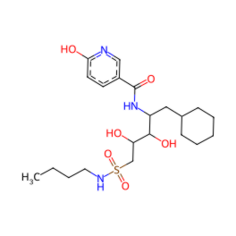 CCCCNS(=O)(=O)CC(O)C(O)C(CC1CCCCC1)NC(=O)c1ccc(O)nc1